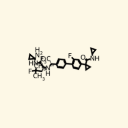 CC(C)(F)C[C@H](N[C@@H](c1ccc(-c2ccc(C3(C(=O)NC4CC4)CC3)cc2F)cc1)C(F)(F)F)C(=O)NC1(N)CC1